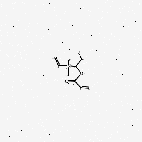 C=CC(=O)OC(CC)[Si](C)(C)C=C